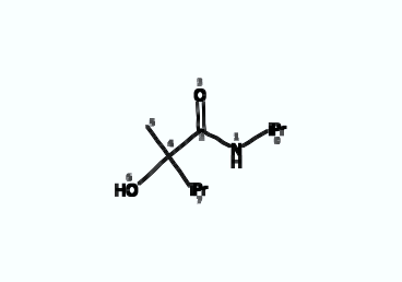 CC(C)NC(=O)C(C)(O)C(C)C